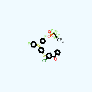 O=C(c1ccccc1)c1ccc(Sc2ccc([S+](c3ccc(F)cc3)c3ccc(F)cc3)cc2)c(Cl)c1.O=S(=O)([O-])C(F)(F)C(F)(F)C(F)(F)C(F)(F)F